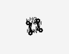 Oc1cccc2c3nc4nc(nc5[nH]c(nc6nc(nc([nH]3)c12)-c1ccccc1-6)c1ccccc51)-c1ccccc1-4.[Ir]